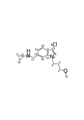 COCCCn1cc(Cl)c2ccc(CNC3CC3)cc21